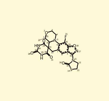 C[C@@H]1OCCN2c3c(cc4c(N5CCSC5=O)noc4c3F)CC3(C(=O)NC(=O)NC3=O)C12